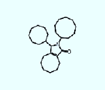 O=C1C2=C(CCCCCC2)C(C2CCCCCCC2)N1C1CCCCCCCC1